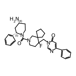 N[C@@H]1CCN(C(=O)N2CCC(F)(Cn3cnc(-c4ccccc4)cc3=O)C3(CCCC3)C2)[C@H](c2ccccc2)C1